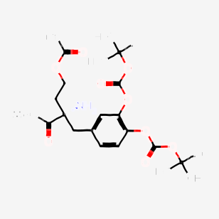 CCC(C)(C)OC(=O)Oc1ccc(C[C@](N)(CCOC(=O)C(C)C)C(=O)OC)cc1OC(=O)OC(C)(C)CC